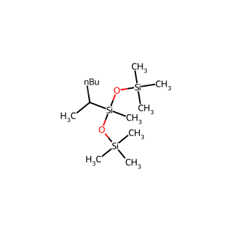 CCCCC(C)[Si](C)(O[Si](C)(C)C)O[Si](C)(C)C